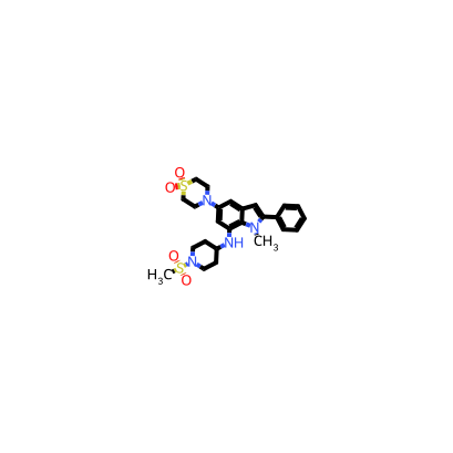 Cn1c(-c2ccccc2)cc2cc(N3CCS(=O)(=O)CC3)cc(NC3CCN(S(C)(=O)=O)CC3)c21